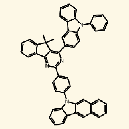 CC1(C)c2ccccc2-c2nc(-c3ccc(-n4c5ccccc5c5cc6ccccc6cc54)cc3)nc(-c3ccc4c(c3)c3ccccc3n4-c3ccccc3)c21